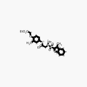 CCCN(C[C@@H](CC)Sc1ccc(OCC(=O)OCC)c(C)c1)S(=O)(=O)c1sc2ccccc2c1C